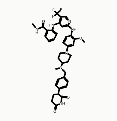 CNC(=O)c1ccccc1Nc1cc(Nc2ccc(N3CCC(N(C)Cc4ccc(C5CCC(=O)NC5=O)cc4)CC3)cc2OC)ncc1C(F)(F)F